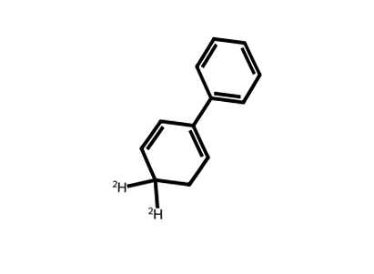 [2H]C1([2H])C=CC(c2ccccc2)=CC1